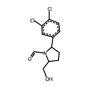 O=CN1C(CO)CCC1c1ccc(Cl)c(Cl)c1